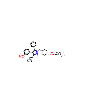 N#CCCc1nn(C[C@H]2CC[C@H](COCC(=O)O)CC2)c(-c2ccccc2)c1-c1cccc(O)c1